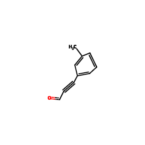 Cc1cccc(C#CC=O)c1